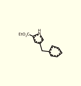 CCOC(=O)c1cc(Cc2ccccc2)c[nH]1